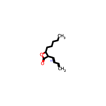 C=C/C=C/C1C(=O)OC1CCCCC